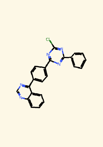 Clc1nc(-c2ccccc2)nc(-c2ccc(-c3ncnc4ccccc34)cc2)n1